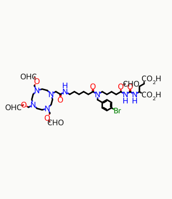 O=COCN1CCN(COC=O)CCN(CC(=O)NCCCCCC(=O)N(CCCCC(NC(=O)NC(CCC(=O)O)C(=O)O)OC=O)Cc2ccc(Br)cc2)CCN(COC=O)CC1